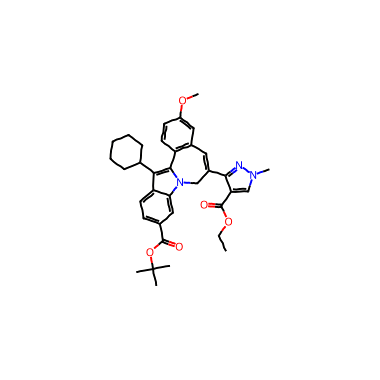 CCOC(=O)c1cn(C)nc1C1=Cc2cc(OC)ccc2-c2c(C3CCCCC3)c3ccc(C(=O)OC(C)(C)C)cc3n2C1